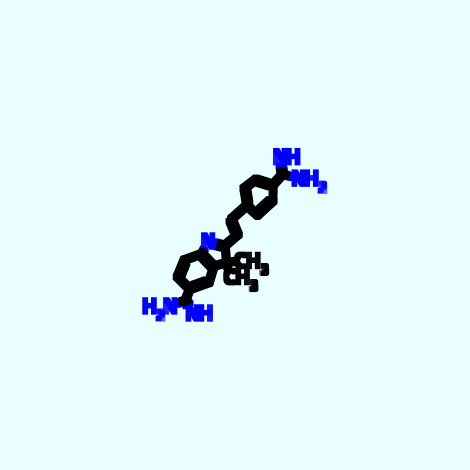 CC1(C)C(C=Cc2ccc(C(=N)N)cc2)=Nc2ccc(C(=N)N)cc21